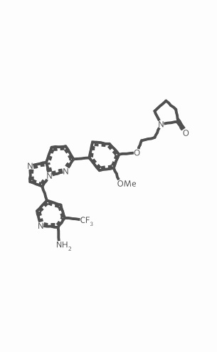 COc1cc(-c2ccc3ncc(-c4cnc(N)c(C(F)(F)F)c4)n3n2)ccc1OCCN1CCCC1=O